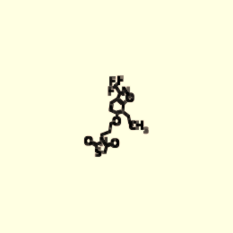 CCCc1c(OCCCN2C(=O)CSC2=O)ccc2c(C(F)(F)F)noc12